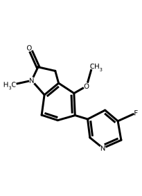 COc1c(-c2cncc(F)c2)ccc2c1CC(=O)N2C